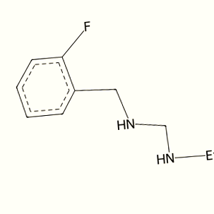 CCNCNCc1ccccc1F